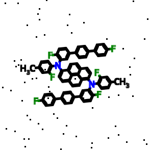 Cc1ccc(N(c2cc(-c3ccc(-c4ccc(F)cc4)cc3)ccc2F)c2ccc3ccc4c(N(c5ccc(C)cc5F)c5cc(-c6ccc(-c7ccc(F)cc7)cc6)ccc5F)ccc5ccc2c3c54)c(F)c1